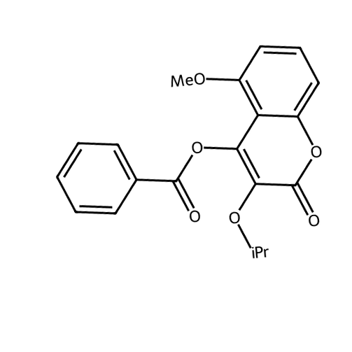 COc1cccc2oc(=O)c(OC(C)C)c(OC(=O)c3ccccc3)c12